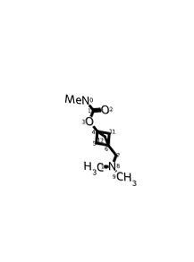 CNC(=O)OC12CC(CN(C)C)(C1)C2